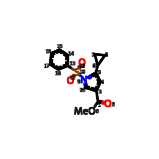 COC(=O)c1cc(C2CC2)n(S(=O)(=O)c2ccccc2)c1